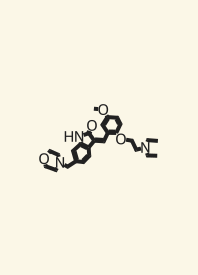 CCN(CC)CCOc1ccc(OC)cc1C=C1C(=O)Nc2cc(CN3CCOCC3)ccc21